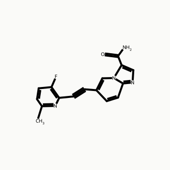 Cc1ccc(F)c(C#Cc2ccc3ncc(C(N)=O)n3c2)n1